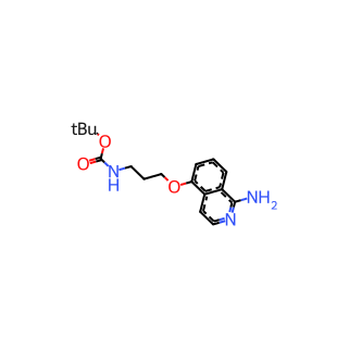 CC(C)(C)OC(=O)NCCCOc1cccc2c(N)nccc12